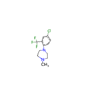 CN1CCN(c2ccc(Cl)cc2C(F)(F)F)CC1